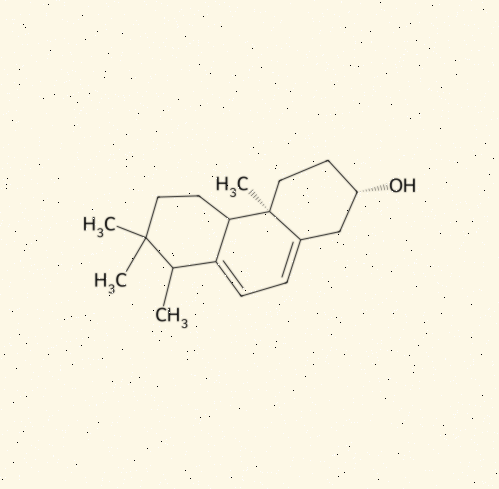 CC1C2=CC=C3C[C@@H](O)CC[C@]3(C)C2CCC1(C)C